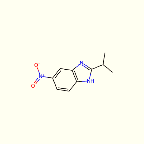 CC(C)c1nc2cc([N+](=O)[O-])ccc2[nH]1